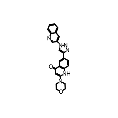 O=c1cc(N2CCOCC2)[nH]c2ccc(-c3cn(-c4cnc5ccccc5c4)nn3)cc12